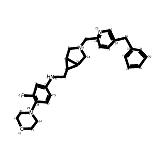 Fc1cc(NCC2C3CN(Cc4ccc(Cc5ccccc5)cn4)CC23)ccc1N1CCOCC1